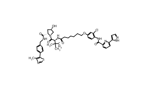 Cc1ncsc1-c1ccc(CNC(=O)[C@@H]2C[C@@H](O)CN2C(=O)[C@@H](NC(=O)CCCCCCOc2ccc(NC(=O)c3cccc(-c4ccn[nH]4)n3)c(Cl)c2)C(C)(C)C)cc1